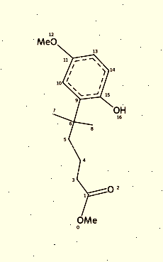 COC(=O)CCCC(C)(C)c1cc(OC)ccc1O